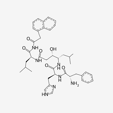 CC(C)C[C@H](NC(=O)C[C@H](O)[C@H](CC(C)C)NC(=O)[C@H](Cc1c[nH]cn1)NC(=O)[C@@H](N)Cc1ccccc1)C(=O)NC(=O)Cc1cccc2ccccc12